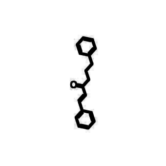 O=C(/C=C/c1ccccc1)CCCc1ccccc1